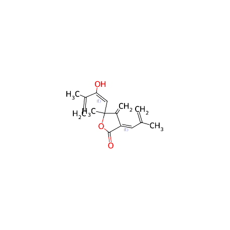 C=C(C)/C=C1\C(=C)C(C)(/C=C(/O)C(=C)C)OC1=O